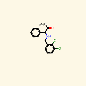 COC(=O)C(NCc1cccc(Cl)c1Cl)c1ccccc1